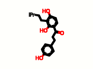 CC(C)CCc1c(O)ccc(C(=O)CCc2ccc(O)cc2)c1O